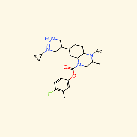 CC(=O)N1C2CCC(C(CN)CNC3CC3)CC2N(C(=O)Oc2ccc(F)c(C)c2)C[C@@H]1C